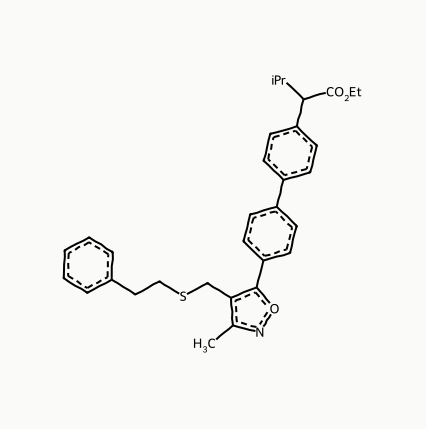 CCOC(=O)C(c1ccc(-c2ccc(-c3onc(C)c3CSCCc3ccccc3)cc2)cc1)C(C)C